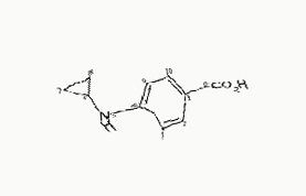 O=C(O)c1ccc(NC2CC2)cc1